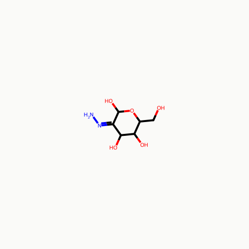 NN=C1C(O)OC(CO)C(O)C1O